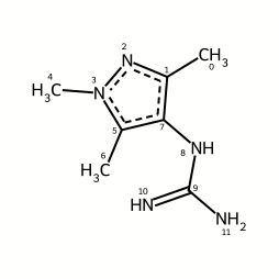 Cc1nn(C)c(C)c1NC(=N)N